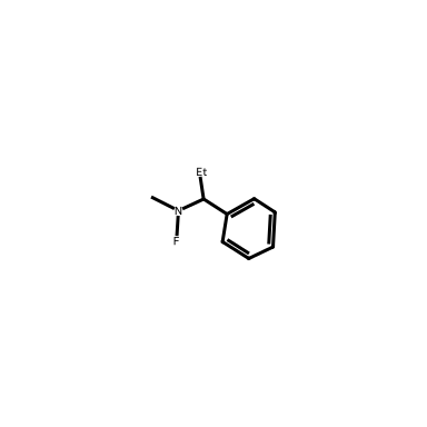 CCC(c1ccccc1)N(C)F